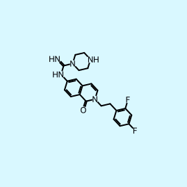 N=C(Nc1ccc2c(=O)n(CCc3ccc(F)cc3F)ccc2c1)N1CCNCC1